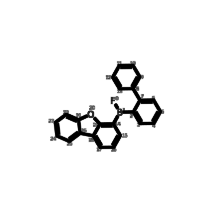 FB(c1ccccc1-c1ccccc1)c1cccc2c1oc1ccccc12